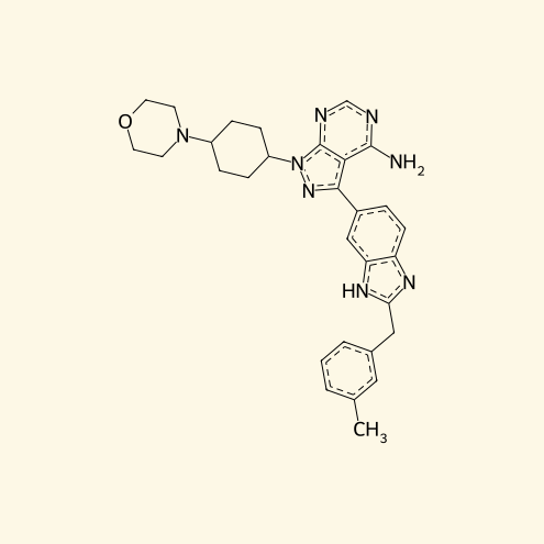 Cc1cccc(Cc2nc3ccc(-c4nn(C5CCC(N6CCOCC6)CC5)c5ncnc(N)c45)cc3[nH]2)c1